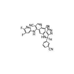 [2H]C(Nc1cc(Cl)c2ncc(C#N)c(Nc3cnc(F)c(F)c3)c2c1)(c1cccc(C#N)c1)c1c[nH]nn1